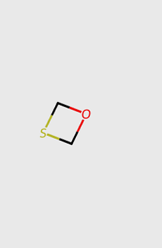 C1OCS1